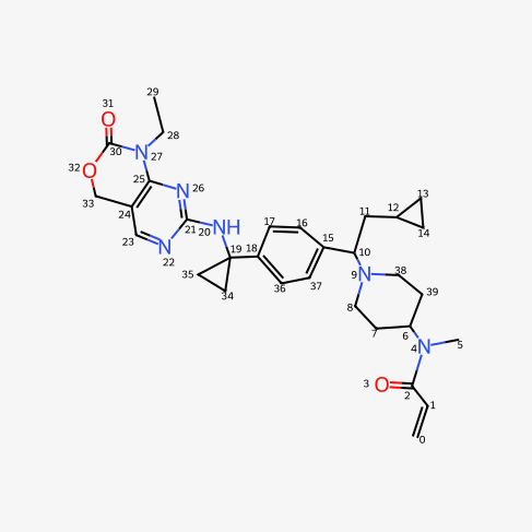 C=CC(=O)N(C)C1CCN(C(CC2CC2)c2ccc(C3(Nc4ncc5c(n4)N(CC)C(=O)OC5)CC3)cc2)CC1